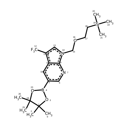 CC1(C)OB(c2cnc3c(c2)c(C(F)(F)F)cn3COCC[Si](C)(C)C)OC1(C)C